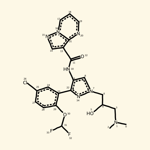 CN(C)CC(O)Cn1cc(NC(=O)c2cnn3cccnc23)c(-c2cc(Cl)ccc2OC(F)F)n1